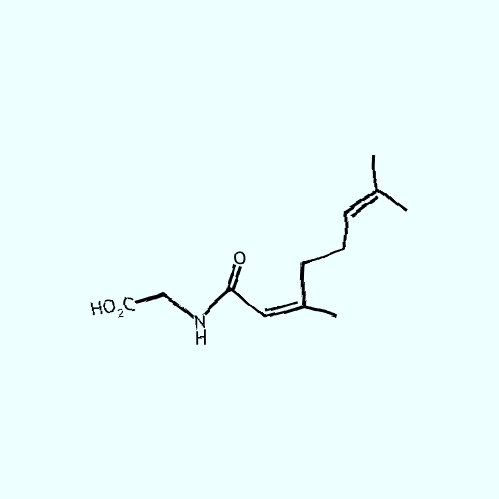 CC(C)=CCCC(C)=CC(=O)NCC(=O)O